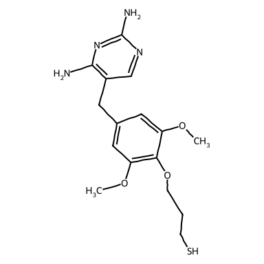 COc1cc(Cc2cnc(N)nc2N)cc(OC)c1OCCCS